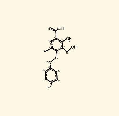 Cc1nc(C(=O)O)c(O)c(CO)c1COc1ccc(F)cc1